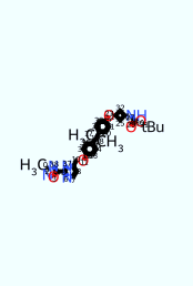 Cc1noc(-c2nccc(COc3ccc(C(C)(C)c4ccc(O[C@H]5C[C@H](NC(=O)OC(C)(C)C)C5)cc4)cc3)n2)n1